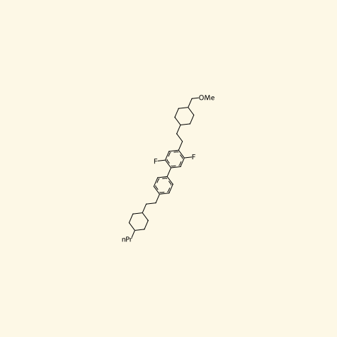 CCCC1CCC(CCc2ccc(-c3cc(F)c(CCC4CCC(COC)CC4)cc3F)cc2)CC1